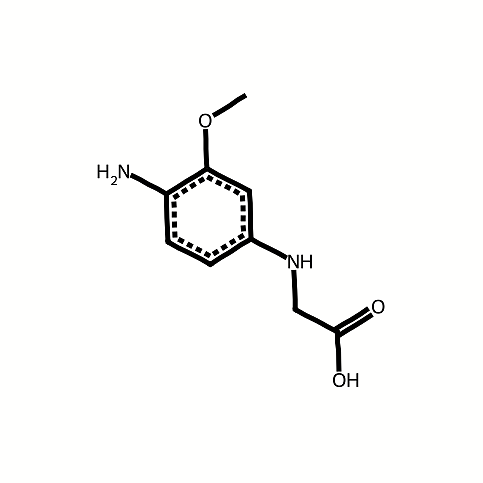 COc1cc(NCC(=O)O)ccc1N